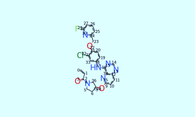 C=CC(=O)N1CC[C@H](Oc2ccc3ncnc(Nc4ccc(OCc5cccc(F)n5)c(Cl)c4)c3n2)C1